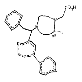 C[C@@H]1CN(C(c2ccccc2)c2cccc(-c3ccccc3)c2)CCN1CC(=O)O